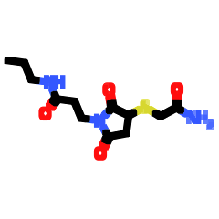 CCCNC(=O)CCN1C(=O)CC(SCC(N)=O)C1=O